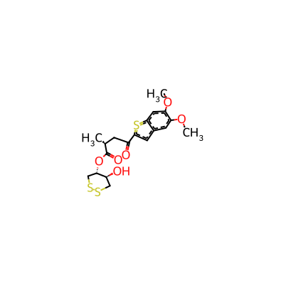 COc1cc2cc(C(=O)C[C@H](C)C(=O)O[C@H]3CSSC[C@@H]3O)sc2cc1OC